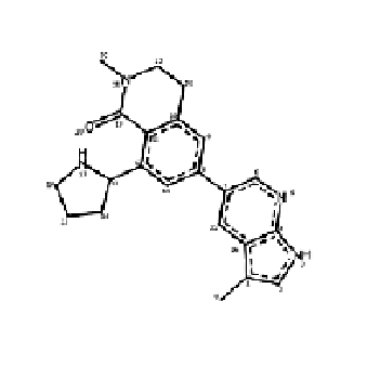 Cc1c[nH]c2ncc(-c3cc4c(c(C5CCCN5)c3)C(=O)N(C)CC4)cc12